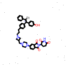 CC/C(=C(\c1ccc(O)cc1)c1ccc(CCCN2CC(CN3CCN(c4ccc5c(c4)C(=O)N(C4CCC(=O)NC4=O)C5=O)CC3)C2)cc1)c1ccccc1